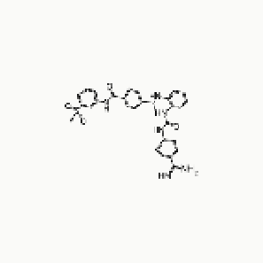 CC(Nc1ccccc1NC(=O)Nc1ccc(C(=N)N)cc1)c1ccc(C(=O)Nc2cccc(S(C)(=O)=O)c2)cc1